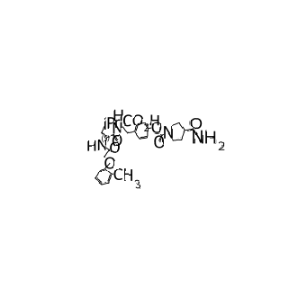 Cc1ccccc1OCC(=O)N[C@@H](CC(C)C)C(=O)NC(Cc1ccc(OC(=O)N2CCC(C(N)=O)CC2)cc1)C(=O)O